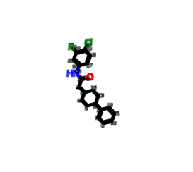 O=C(CC1CCC(c2ccccc2)CC1)Nc1ccc(Cl)c(F)c1